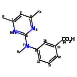 Cc1cc(C)nc(N(C)c2cccc(C(=O)O)c2)n1